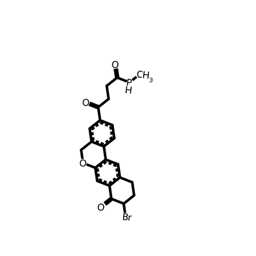 CPC(=O)CCC(=O)c1ccc2c(c1)COc1cc3c(cc1-2)CCC(Br)C3=O